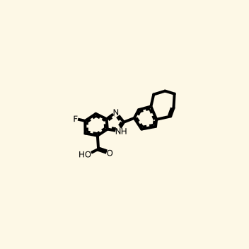 O=C(O)c1cc(F)cc2nc(-c3ccc4c(c3)CCCC=C4)[nH]c12